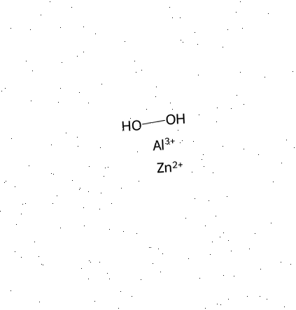 OO.[Al+3].[Zn+2]